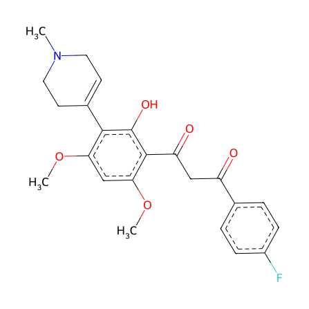 COc1cc(OC)c(C2=CCN(C)CC2)c(O)c1C(=O)CC(=O)c1ccc(F)cc1